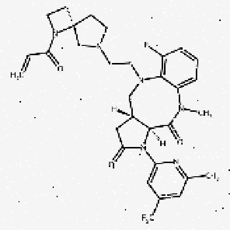 C=CC(=O)N1CC[C@@]12CCN(CCN1C[C@H]3CC(=O)N(c4cc(C(F)(F)F)cc(C)n4)[C@@H]3C(=O)N(C)c3cccc(F)c31)C2